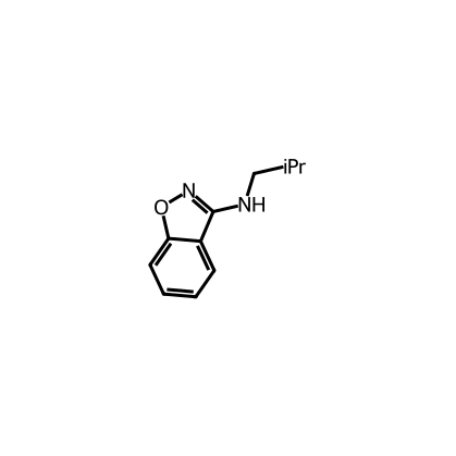 CC(C)CNc1noc2ccccc12